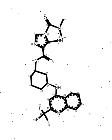 CN1NNc2c(C(=O)NC3CCC[C@H](Nc4cc(C(F)(F)F)nc5ccccc45)C3)ncn2C1=O